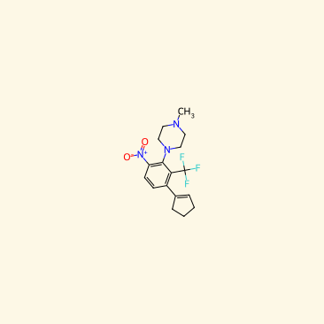 CN1CCN(c2c([N+](=O)[O-])ccc(C3=CCCC3)c2C(F)(F)F)CC1